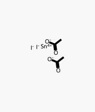 CC(=O)[O-].CC(=O)[O-].[I-].[I-].[Sn+4]